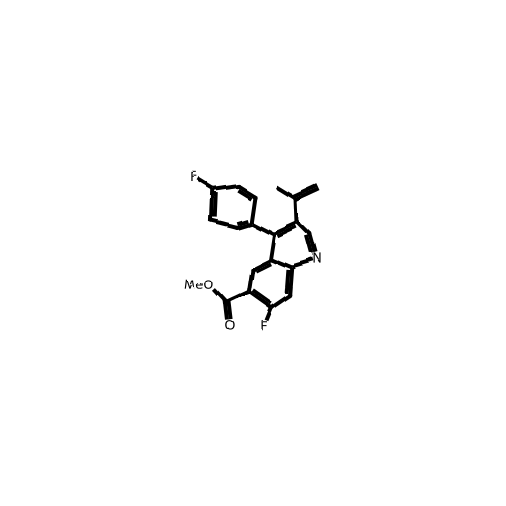 C=C(C)c1cnc2cc(F)c(C(=O)OC)cc2c1-c1ccc(F)cc1